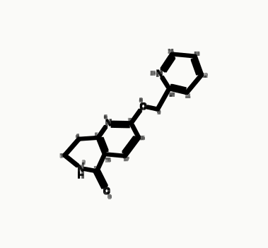 O=C1NCCc2nc(OCc3ccccn3)ccc21